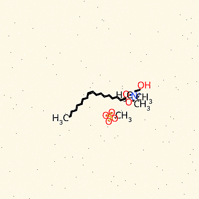 CCCCCCCC/C=C\CCCCCCCC(=O)OC(C)[N+](C)(C)CCO.COS(=O)(=O)[O-]